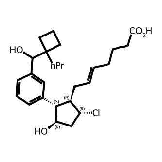 CCCC1(C(O)c2cccc([C@@H]3[C@@H](CC=CCCCC(=O)O)[C@H](Cl)C[C@H]3O)c2)CCC1